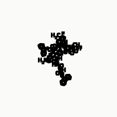 CC[C@@]1(O)C(=O)OCc2c1cc1n(c2=O)Cc2c-1nc1cc(F)c(C)c3c1c2[C@@H](NC(=O)CN(CCN(CC(N)=O)C(=O)[C@H](Cc1ccccc1)NC(=O)CNC(=O)CNC(=O)OCC1c2ccccc2-c2ccccc21)C(=O)OCC1c2ccccc2-c2ccccc21)CC3